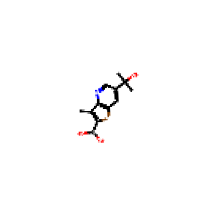 Cc1c(B(O)O)sc2cc(C(C)(C)O)cnc12